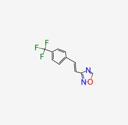 FC(F)(F)c1ccc(C=Cc2ncon2)cc1